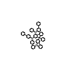 c1ccc(-c2ccc(N(c3ccccc3)c3cc(N(c4ccccc4)c4cccc(-c5ccccc5)c4)c4c(c3)C(c3ccccc3)(c3ccc5c(c3)c3ccccc3n5-c3ccccc3)c3ccccc3-4)cc2)cc1